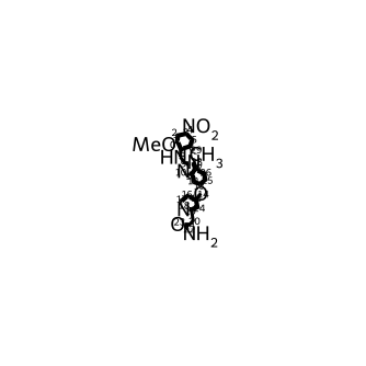 COc1cc([N+](=O)[O-])ccc1Nc1nc2cc(Oc3ccnc(CC(N)=O)c3)ccc2n1C